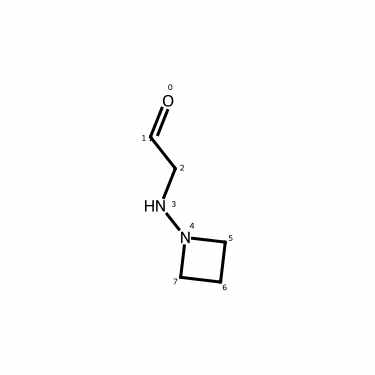 O=[C]CNN1CCC1